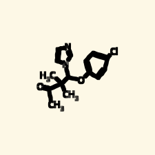 CC(=O)C(C)(C)C(Oc1ccc(Cl)cc1)n1ccnc1